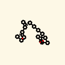 c1ccc(-c2ccccc2-c2cccc(C3(c4cccc(-c5ccc(-c6ccc(-c7cccc(-n8c9ccccc9c9cc(-c%10ccc%11c(c%10)c%10ccccc%10n%11-c%10ccccc%10-c%10ccccc%10)ccc98)c7)cc6)cc5)c4)c4ccccc4-c4ccccc43)c2)cc1